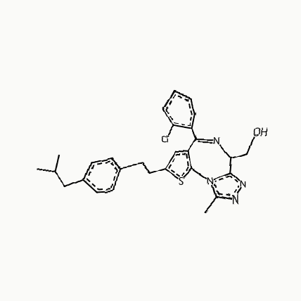 Cc1nnc2n1-c1sc(CCc3ccc(CC(C)C)cc3)cc1C(c1ccccc1Cl)=NC2CO